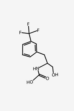 O=C(O)NC(CO)Cc1cccc(C(F)(F)F)c1